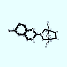 Brc1ccc2nc(N3C[C@H]4CC[C@@H](C3)O4)ncc2c1